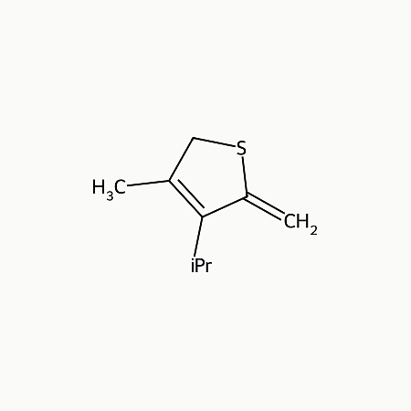 C=C1SCC(C)=C1C(C)C